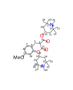 COc1ccc(CC(C(=O)OC2CC(C)(C)N(C)C(C)(C)C2)C(=O)OC2CC(C)(C)N(C)C(C)(C)C2)cc1